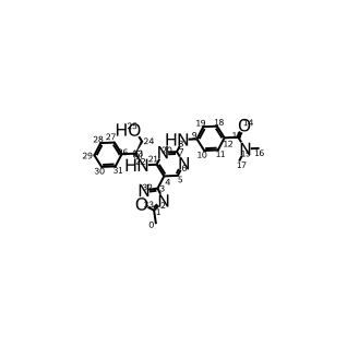 Cc1nc(-c2cnc(Nc3ccc(C(=O)N(C)C)cc3)nc2N[C@H](CO)c2ccccc2)no1